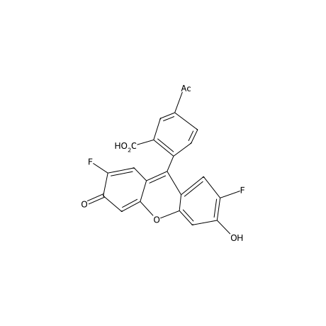 CC(=O)c1ccc(-c2c3cc(F)c(=O)cc-3oc3cc(O)c(F)cc23)c(C(=O)O)c1